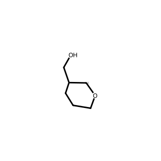 OCC1[C]OCCC1